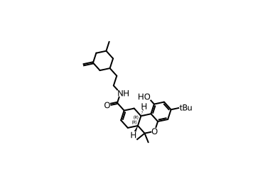 C=C1CC(C)CC(CCNC(=O)C2=CC[C@@H]3[C@@H](C2)c2c(O)cc(C(C)(C)C)cc2OC3(C)C)C1